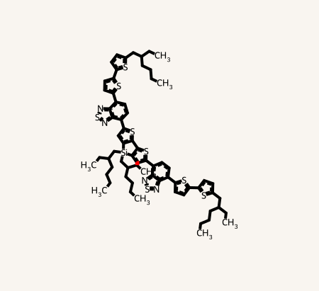 CCCCC(CC)Cc1ccc(-c2ccc(-c3ccc(-c4cc5c(s4)-c4sc(-c6ccc(-c7ccc(-c8ccc(CC(CC)CCCC)s8)s7)c7nsnc67)cc4[Si]5(CC(CC)CCCC)CC(CC)CCCC)c4nsnc34)s2)s1